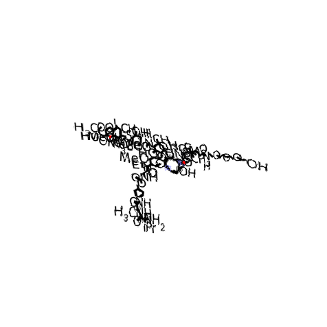 CCN(C(=O)CNC(=O)OCc1ccc(NC(=O)[C@H](C)NC(=O)[C@@H](N)C(C)C)cc1)C1COC(OC2C(O[C@H]3C#C/C=C\C#C[C@]4(O)CC(=O)C(NC(=O)OC)=C3/C4=C\CSSC(C)(C)CCC(=O)NCCOCCOCCOCCO)OC(C)C(NOC3CC(O)C(SC(=O)c4c(C)c(I)c(OC5OC(C)C(O)C(OC)C5O)c(OC)c4OC)C(C)O3)C2O)CC1OC